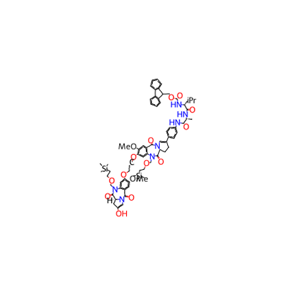 COc1cc2c(cc1OCCCOc1cc3c(cc1OC)C(=O)N1C=C(O)C[C@H]1C(=O)N3COCC[Si](C)(C)C)N(COCC[Si](C)(C)C)C(=O)C1CCC(c3ccc(NC(=O)[C@H](C)NC(=O)[C@@H](NC(=O)OCC4c5ccccc5-c5ccccc54)C(C)C)cc3)=CN1C2=O